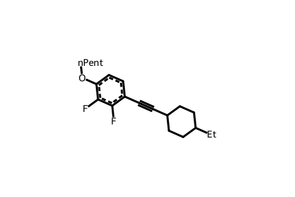 CCCCCOc1ccc(C#CC2CCC(CC)CC2)c(F)c1F